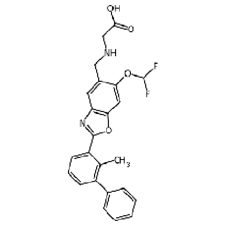 Cc1c(-c2ccccc2)cccc1-c1nc2cc(CNCC(=O)O)c(OC(F)F)cc2o1